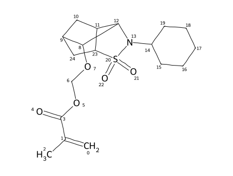 C=C(C)C(=O)OCOC1C2CC3C1N(C1CCCCC1)S(=O)(=O)C3C2